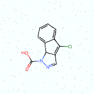 O=C(O)N1N=CC2=C(Cl)c3ccccc3C21